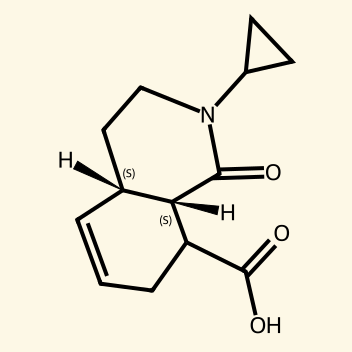 O=C(O)C1CC=C[C@@H]2CCN(C3CC3)C(=O)[C@H]12